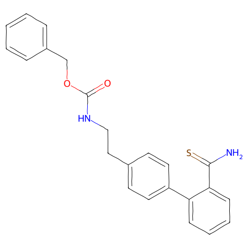 NC(=S)c1ccccc1-c1ccc(CCNC(=O)OCc2ccccc2)cc1